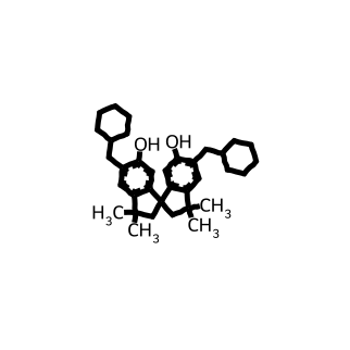 CC1(C)CC2(CC(C)(C)c3cc(CC4CCCCC4)c(O)cc32)c2cc(O)c(CC3CCCCC3)cc21